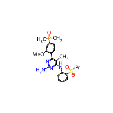 COc1cc(P(C)(C)=O)ccc1-c1nc(N)nc(Nc2ccccc2S(=O)(=O)C(C)C)c1C